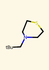 CC(C)(C)CN1CCSCC1